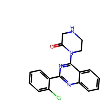 O=C1CNCCN1c1nc(-c2ccccc2Cl)nc2ccccc12